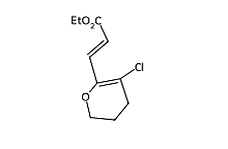 CCOC(=O)/C=C/C1=C(Cl)CCCO1